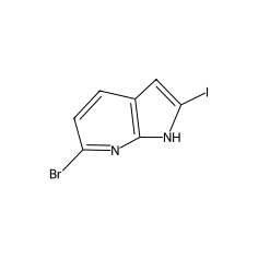 Brc1ccc2cc(I)[nH]c2n1